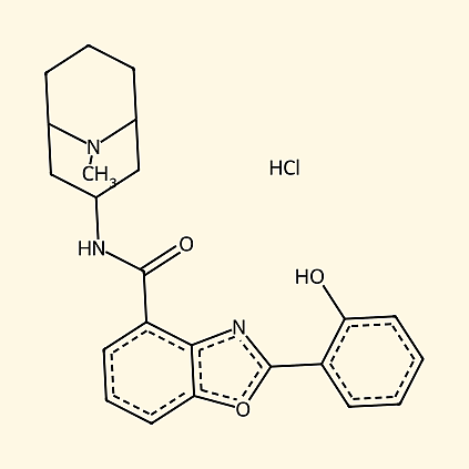 CN1C2CCCC1CC(NC(=O)c1cccc3oc(-c4ccccc4O)nc13)C2.Cl